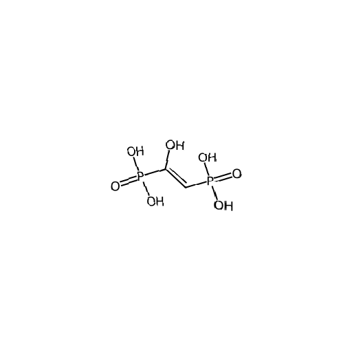 O=P(O)(O)C=C(O)P(=O)(O)O